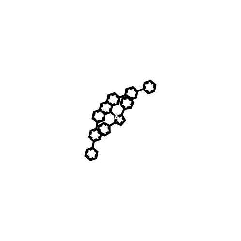 c1ccc(-c2ccc(-c3ccc4cc5ccc(-c6ccc(-c7ccccc7)cc6)cc5c(-n5c(-c6ccccc6)ccc5-c5ccccc5)c4c3)cc2)cc1